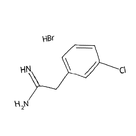 Br.N=C(N)Cc1cccc(Cl)c1